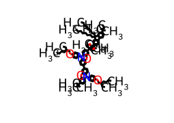 CCCCCCCCC1(CCCCCCCC)c2cc(C(C)(C)CC)ccc2-c2ccc(C(C)(CC)C(CC)(CC)c3ccc4c(c3)Oc3cc(-c5ccc6c(c5)Oc5cc(C(C)(C)C)ccc5N6c5ccc(OCC(CC)CCCC)cc5)ccc3N4c3ccc(OCC(CC)CCCC)cc3)cc21